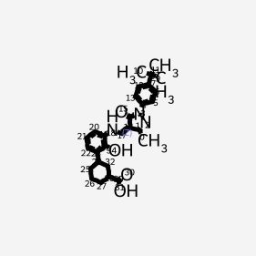 CC1=NN(c2ccc(C(C)(C)C)cc2)C(=O)/C1=C\Nc1cccc(C2CCCC(C(=O)O)C2)c1O